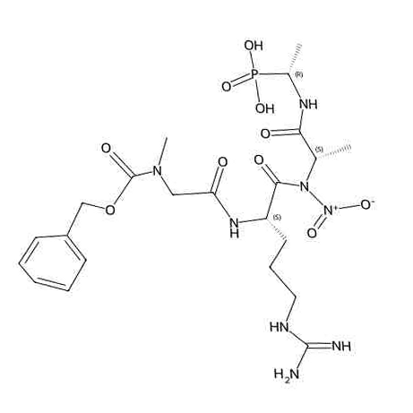 C[C@H](NC(=O)[C@H](C)N(C(=O)[C@H](CCCNC(=N)N)NC(=O)CN(C)C(=O)OCc1ccccc1)[N+](=O)[O-])P(=O)(O)O